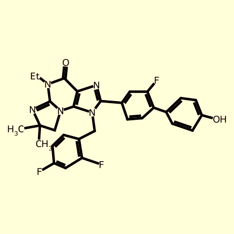 CCN1C(=O)c2nc(-c3ccc(-c4ccc(O)cc4)c(F)c3)n(Cc3ccc(F)cc3F)c2N2CC(C)(C)N=C12